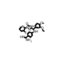 CCOc1cc(C(Nc2ccc(C(=N)N)cc2)c2nn(-c3ncccc3F)c(=O)[nH]2)ccc1OC